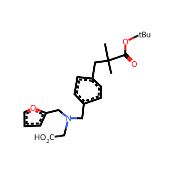 CC(C)(C)OC(=O)C(C)(C)Cc1ccc(CN(CC(=O)O)Cc2ccco2)cc1